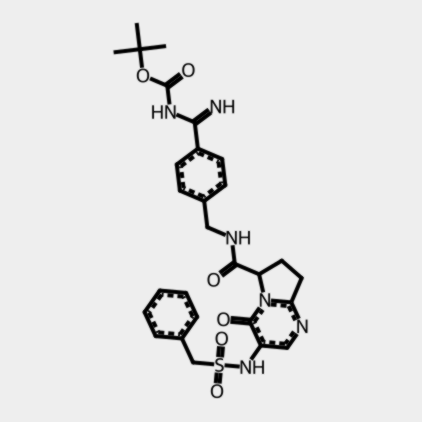 CC(C)(C)OC(=O)NC(=N)c1ccc(CNC(=O)C2CCc3ncc(NS(=O)(=O)Cc4ccccc4)c(=O)n32)cc1